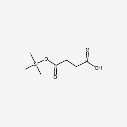 C[Si](C)(C)OC(=O)CCC(=O)O